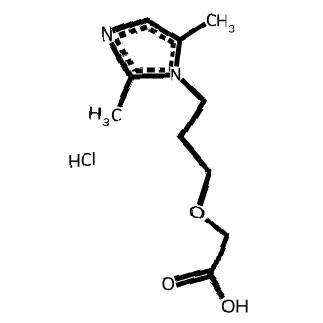 Cc1cnc(C)n1CCCOCC(=O)O.Cl